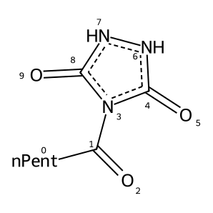 CCCCCC(=O)n1c(=O)[nH][nH]c1=O